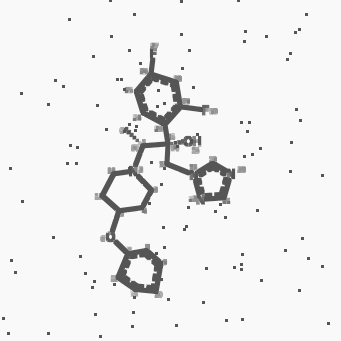 C[C@@H](N1CCC(Oc2ccccc2)CC1)[C@](O)(Cn1cncn1)c1ccc(F)cc1F